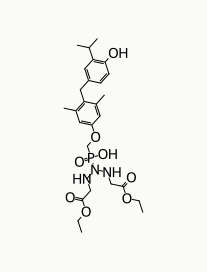 CCOC(=O)CNN(NCC(=O)OCC)P(=O)(O)COc1cc(C)c(Cc2ccc(O)c(C(C)C)c2)c(C)c1